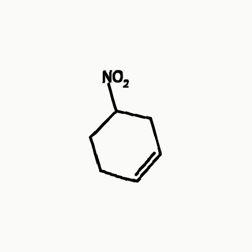 O=[N+]([O-])C1CC=CCC1